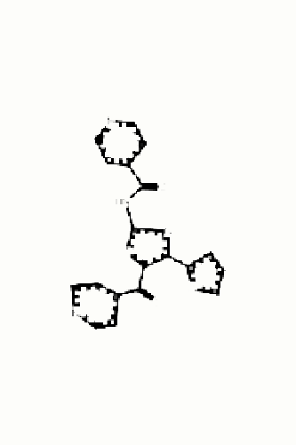 O=C(Nc1nc(-c2ccco2)c(C(=O)c2ccncc2)s1)c1ccncc1